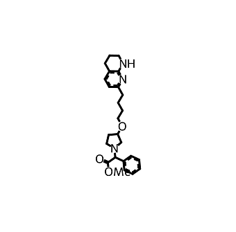 COC(=O)C(c1ccccc1)N1CCC(OCCCCc2ccc3c(n2)NCCC3)C1